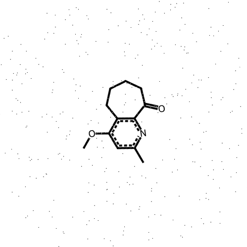 COc1cc(C)nc2c1CCCCC2=O